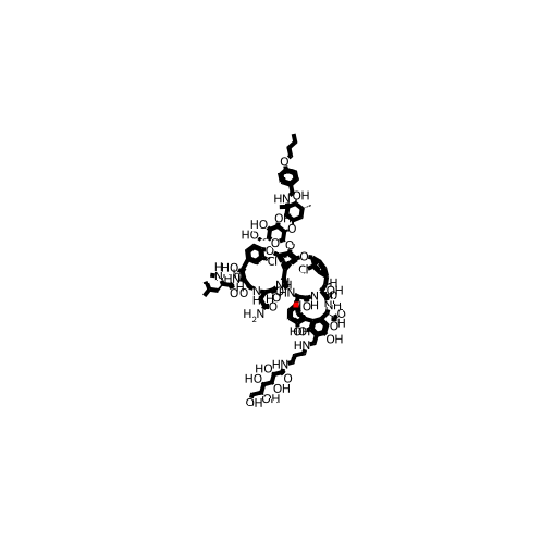 CCCCOc1ccc(CNC2(C)C[C@H](O[C@@H]3C(O)C(O)[C@@H](CO)O[C@H]3Oc3c4cc5cc3Oc3ccc(cc3Cl)[C@@H](O)[C@@H](NC(=O)[C@@H](CC(C)C)NC)C(=O)N[C@@H](CC(N)=O)C(=O)N[C@H]5C(=O)N[C@@H]3C(=O)N[C@H](C(=O)N[C@H](C(=O)O)c5cc(O)c(CNCCCNC(=O)[C@H](O)[C@@H](O)[C@H](O)[C@H](O)CO)c(O)c5-c5cc3ccc5O)[C@H](O)c3ccc(c(Cl)c3)O4)C[C@@H](C)[C@H]2O)cc1